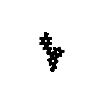 O=Cc1ccc2c(c1)c1ccccc1n2OCCc1ccc(Br)cc1